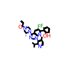 C=CC(=O)N1CCN(C2=NCN(c3c(C)ccnc3C(C)C)c3nc(-c4c(O)cccc4F)c(F)cc32)[C@H](C)C1